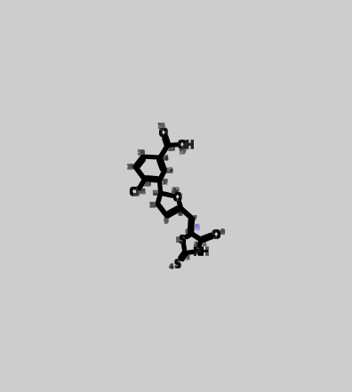 O=C1NC(=S)S/C1=C\C1=CCC(c2cc(C(=O)O)ccc2Cl)O1